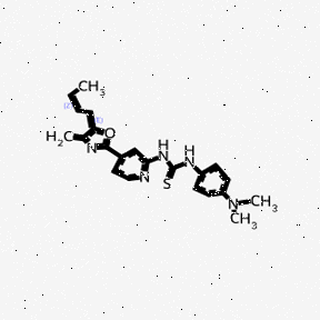 C=c1nc(-c2ccnc(NC(=S)Nc3ccc(N(C)C)cc3)c2)o/c1=C/C=C\C